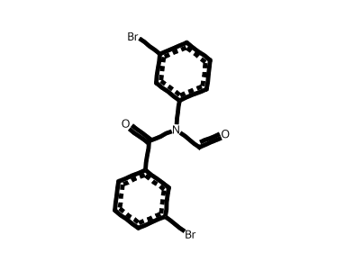 O=[C]N(C(=O)c1cccc(Br)c1)c1cccc(Br)c1